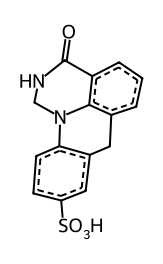 O=C1NCN2c3ccc(S(=O)(=O)O)cc3Cc3cccc1c32